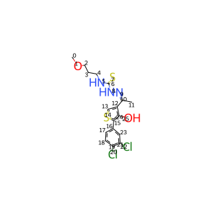 COCCCNC(=S)N/N=C(/C)c1csc(-c2ccc(Cl)c(Cl)c2)c1O